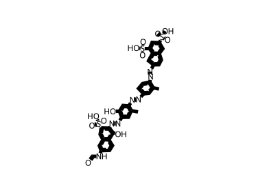 Cc1cc(N=Nc2cc(O)c(N=Nc3c(S(=O)(=O)O)cc4cc(NC=O)ccc4c3O)cc2C)ccc1N=Nc1ccc2cc(S(=O)(=O)O)cc(S(=O)(=O)O)c2c1